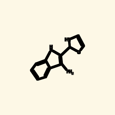 Pc1c(C2NC=CO2)[nH]c2ccccc12